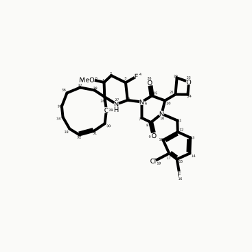 COC1CC(F)C(N2CC(=O)N(Cc3ccc(F)c(Cl)c3)C(C3COC3)C2=O)NC12CC/C=C\CCCCCC2